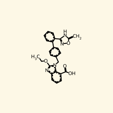 C=C1NC(c2ccccc2-c2ccc(Cn3c(OCC)nc4cccc(C(=O)O)c43)cc2)=NO1